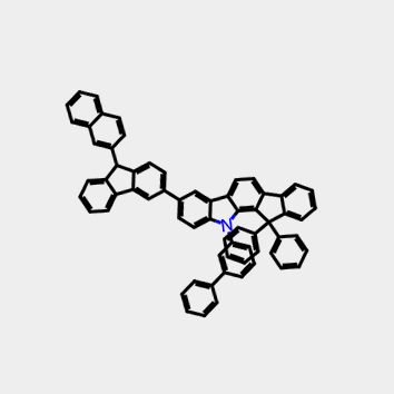 c1ccc(-c2cccc(-n3c4ccc(-c5ccc6c(c5)-c5ccccc5C6c5ccc6ccccc6c5)cc4c4ccc5c(c43)C(c3ccccc3)(c3ccccc3)c3ccccc3-5)c2)cc1